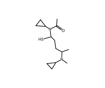 CC(=O)N(C(S)CCC(C)N(C)C1CC1)C1CC1